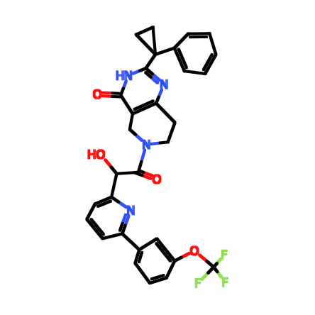 O=C(C(O)c1cccc(-c2cccc(OC(F)(F)F)c2)n1)N1CCc2nc(C3(c4ccccc4)CC3)[nH]c(=O)c2C1